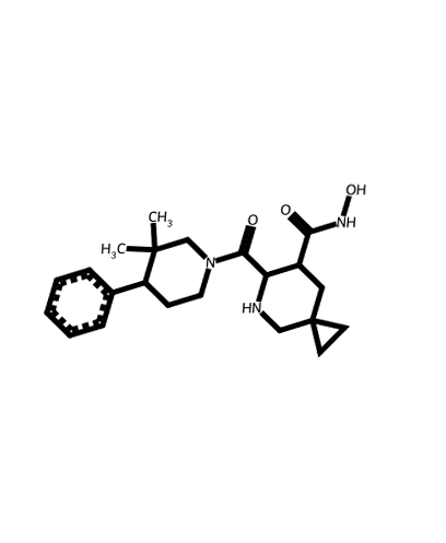 CC1(C)CN(C(=O)C2NCC3(CC3)CC2C(=O)NO)CCC1c1ccccc1